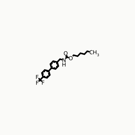 CCCCCCOC(=O)NCc1ccc(-c2ccc(C(F)(F)F)cc2)cc1